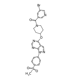 CS(=O)(=O)c1ccc(-n2ncc3c(OC4CCN(C(=O)c5cncc(Br)c5)CC4)ncnc32)cc1